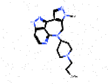 COCCN1CCC(N2Cc3c(cnn3C(C)C)-c3n[nH]c4ccnc2c34)CC1